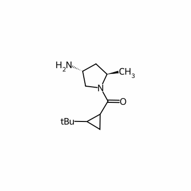 C[C@@H]1C[C@@H](N)CN1C(=O)C1CC1C(C)(C)C